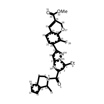 CCc1cc(C(=O)N2CCc3sccc3C2C)nc2cc(-c3ccc4c(c3F)OCC(C(=O)OC)=C4)nn12